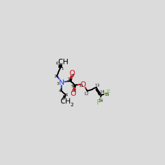 C#CCN(CC=C)C(=O)C(=O)OCC=C(F)F